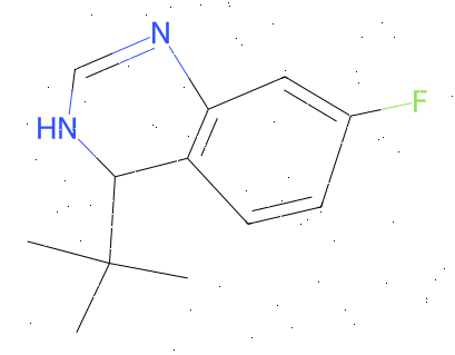 CC(C)(C)C1NC=Nc2cc(F)ccc21